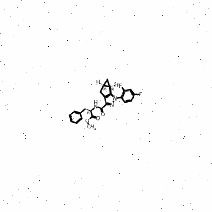 COC(=O)[C@@H](Cc1ccccc1)NC(=O)c1nn(-c2ccc(F)cc2F)c2c1C[C@H]1C[C@@H]21